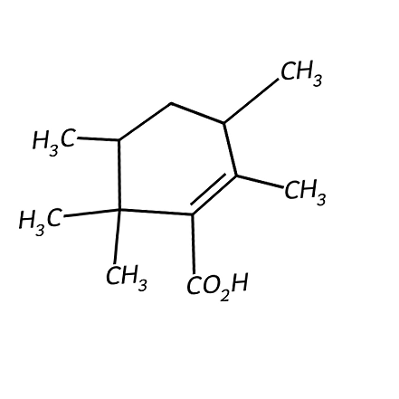 CC1=C(C(=O)O)C(C)(C)C(C)CC1C